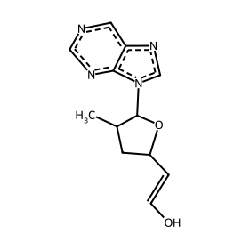 CC1CC(C=CO)OC1n1cnc2cncnc21